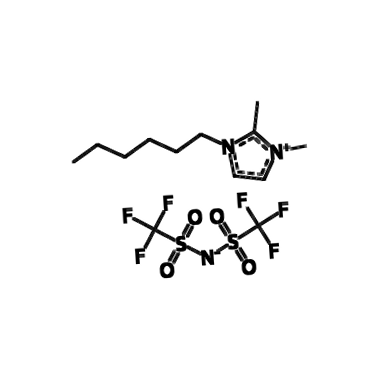 CCCCCCn1cc[n+](C)c1C.O=S(=O)([N-]S(=O)(=O)C(F)(F)F)C(F)(F)F